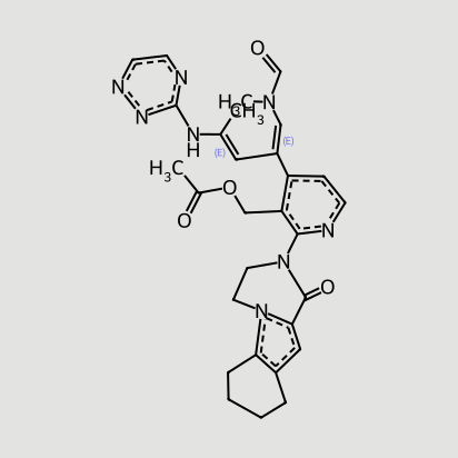 CC(=O)OCc1c(C(/C=C(\C)Nc2nccnn2)=C/N(C)C=O)ccnc1N1CCn2c(cc3c2CCCC3)C1=O